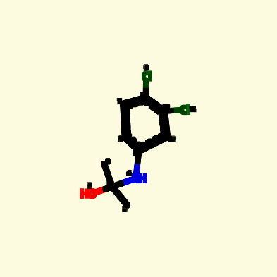 CC(C)(O)Nc1ccc(Cl)c(Cl)c1